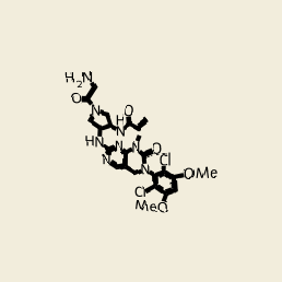 C=CC(=O)NC1CN(C(=O)CN)CC1Nc1ncc2c(n1)N(C)C(=O)N(c1c(Cl)c(OC)cc(OC)c1Cl)C2